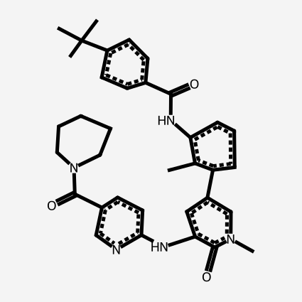 Cc1c(NC(=O)c2ccc(C(C)(C)C)cc2)cccc1-c1cc(Nc2ccc(C(=O)N3CCCCC3)cn2)c(=O)n(C)c1